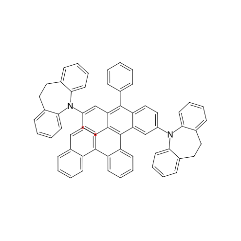 c1ccc(-c2c3cc(N4c5ccccc5CCc5ccccc54)ccc3c(-c3ccccc3-c3cccc4ccccc34)c3cc(N4c5ccccc5CCc5ccccc54)ccc23)cc1